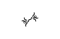 CCC[Si](CCC)(CCCC[Si](CCC)(CCC)OCC)OCC